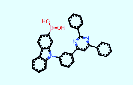 OB(O)c1ccc2c3ccccc3n(-c3cccc(-c4cc(-c5ccccc5)nc(-c5ccccc5)n4)c3)c2c1